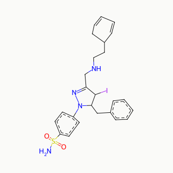 NS(=O)(=O)c1ccc(N2N=C(CNCCC3C=CC=CC3)C(I)C2Cc2ccccc2)cc1